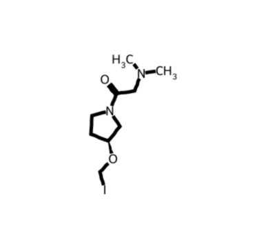 CN(C)CC(=O)N1CC[C@H](OCI)C1